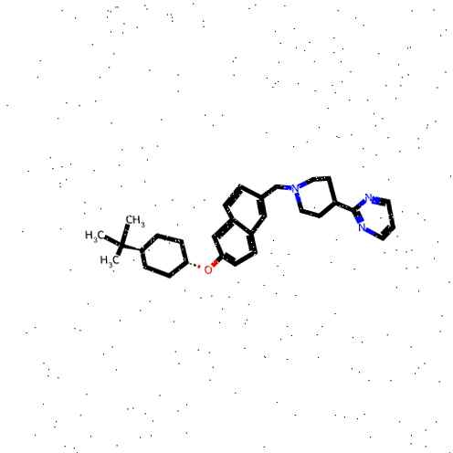 CC(C)(C)[C@H]1CC[C@H](Oc2ccc3cc(CN4CCC(c5ncccn5)CC4)ccc3c2)CC1